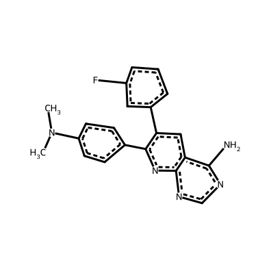 CN(C)c1ccc(-c2nc3ncnc(N)c3cc2-c2cccc(F)c2)cc1